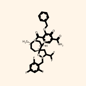 C[C@H]1CC[C@]2(CC(C(F)F)N(Cc3c(F)cc(F)cc3F)O2)[C@H]2CN1C(=O)c1c(OCc3ccccc3)c(=O)c(C(N)=O)cn12